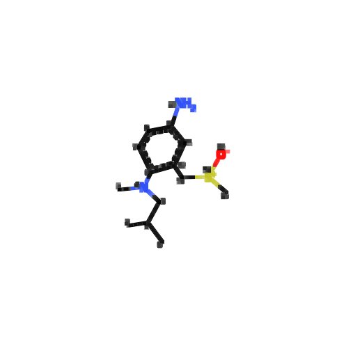 CC(C)CN(C)c1ccc(N)cc1C[S+](C)[O-]